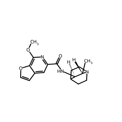 COc1nc(C(=O)N[C@@H]2C3CCN(CC3)[C@H]2C)cc2ccoc12